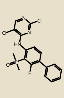 CP(C)(=O)c1c(Nc2nc(Cl)ncc2Cl)ccc(-c2ccccc2)c1F